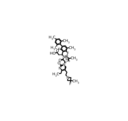 CCc1nc(=O)n([C@@H](CC(C)C)C(=O)N[C@@H](CC(=O)O)c2c(F)c(C)cc(-c3c(C)cc(C)cc3C)c2F)cc1CCN1CC(C)(F)C1